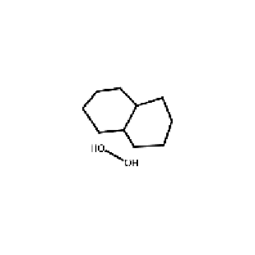 C1CCC2CCCCC2C1.OO